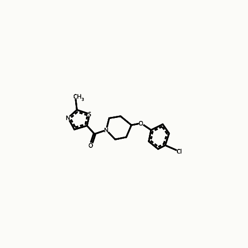 Cc1ncc(C(=O)N2CCC(Oc3ccc(Cl)cc3)CC2)s1